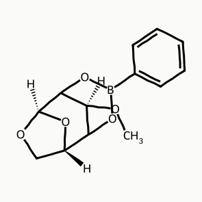 CO[C@@H]1C2OB(c3ccccc3)OC1[C@@H]1CO[C@@H]2O1